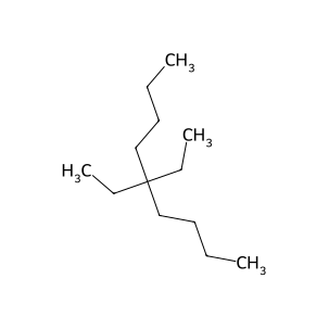 CCCCC(CC)(CC)CCCC